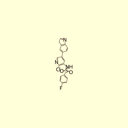 O=S(=O)(Nc1cc(-c2ccc3c(c2)CC=N3)cnc1Cl)c1ccc(F)cc1